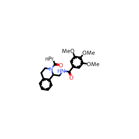 CCCC(=O)N1CCc2ccccc2C1CNC(=O)c1cc(OC)c(OC)c(OC)c1